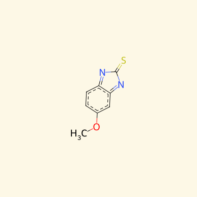 COc1ccc2c(c1)=NC(=S)N=2